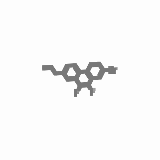 C=CCc1ccc2c(c1)c(F)c(F)c1cc(Br)ccc12